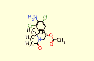 CC(=O)OC(CN(C(C)=O)C(C)(C)C)c1cc(Cl)c(N)c(Cl)c1